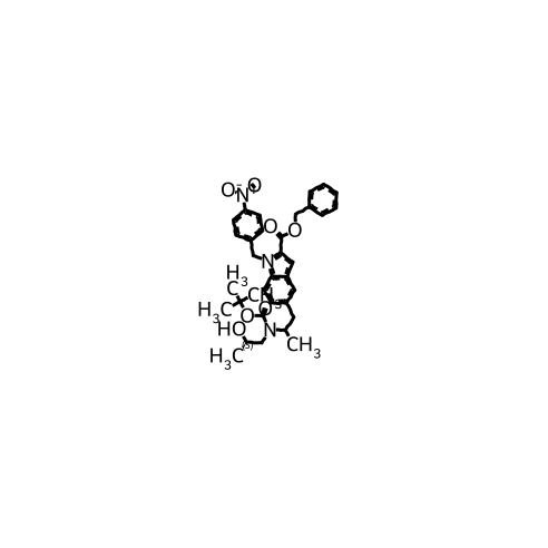 CC(Cc1ccc2c(c1)cc(C(=O)OCc1ccccc1)n2Cc1ccc([N+](=O)[O-])cc1)N(C[C@H](C)O)C(=O)OC(C)(C)C